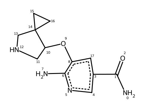 NC(=O)c1cnc(N)c(OC2CNCC23CC3)c1